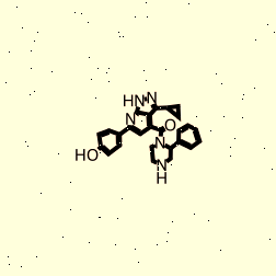 O=C(c1cc(-c2ccc(O)cc2)nc2[nH]nc(C3CC3)c12)N1CCNCC1c1ccccc1